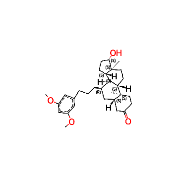 COc1cc(CCC[C@@H]2C[C@H]3CC(=O)CC[C@]3(C)[C@H]3CC[C@]4(C)[C@@H](O)CC[C@H]4[C@H]23)cc(OC)c1